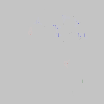 C=CC(=O)N1CCC[C@@H](n2nc(C#CCOc3ccc(Cl)c(F)c3)c3c(N)ncnc32)C1